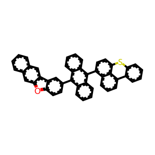 c1ccc2c(c1)Sc1ccc(-c3c4ccccc4c(-c4ccc5oc6cc7ccccc7cc6c5c4)c4ccccc34)c3cccc-2c13